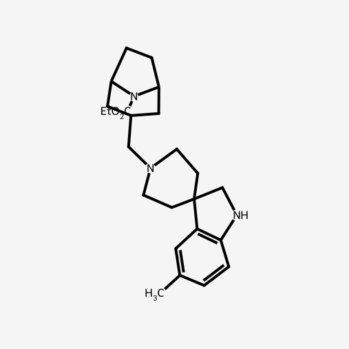 CCOC(=O)N1C2CCC1CC(CN1CCC3(CC1)CNc1ccc(C)cc13)C2